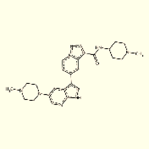 CN1CCC(NC(=O)c2cnn3ccc(-c4c[nH]c5ncc(N6CCN(C)CC6)cc45)cc23)CC1